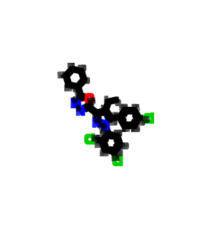 CCc1c(-c2nnc(C3CCCCC3)o2)nn(-c2ccc(Cl)cc2Cl)c1-c1ccc(Cl)cc1